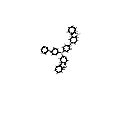 c1ccc(-c2ccc(N(c3ccc(-c4ccc5sc6ccncc6c5c4)cc3)c3ccc4oc5ccccc5c4c3)cc2)cc1